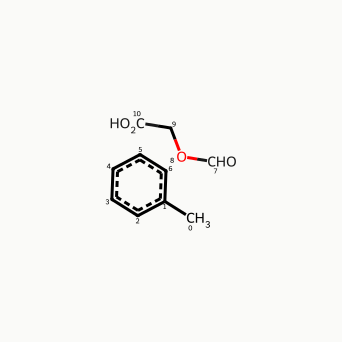 Cc1ccccc1.O=COCC(=O)O